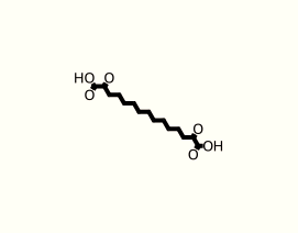 O=C(O)C(=O)CCCCCCCCCCCC(=O)C(=O)O